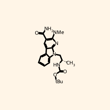 CNc1nc2c(cc1C(N)=O)c1ccccc1n2C[C@H](C)NC(=O)OC(C)(C)C